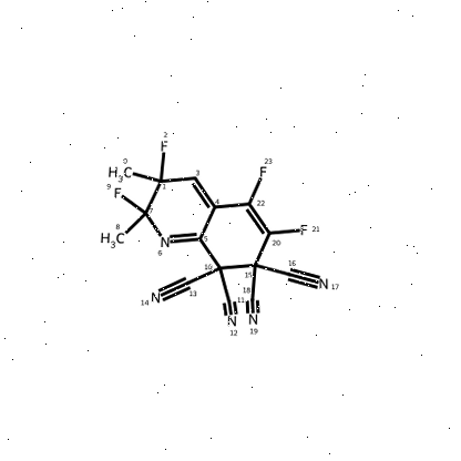 CC1(F)C=C2C(=NC1(C)F)C(C#N)(C#N)C(C#N)(C#N)C(F)=C2F